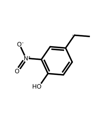 C[CH]c1ccc(O)c([N+](=O)[O-])c1